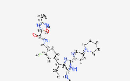 C=Nc1[nH]c(-c2ccc(N3CCCCC3)cn2)nc1/C(=C\C)c1ccc(CNC(=O)c2nc(C(C)(C)C)no2)c(F)c1